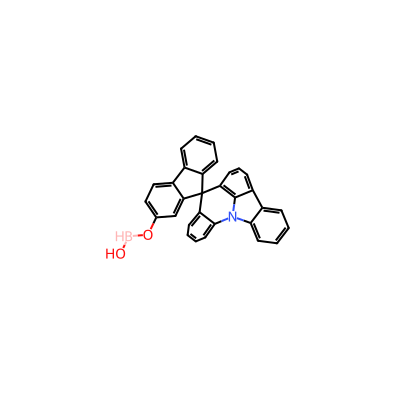 OBOc1ccc2c(c1)C1(c3ccccc3-2)c2ccccc2-n2c3ccccc3c3cccc1c32